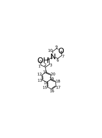 OCC(CCN1CCOCC1)c1ccc2ccccc2c1